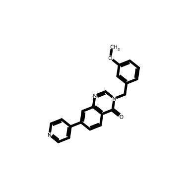 COc1cccc(Cn2cnc3cc(-c4ccncc4)ccc3c2=O)c1